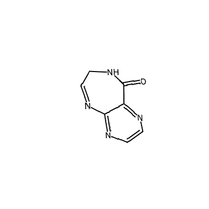 O=C1NCC=Nc2nccnc21